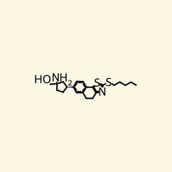 CCCCCSc1nc2c(s1)-c1ccc([C@H]3CC[C@](N)(CO)C3)cc1CC2